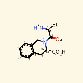 CC[C@H](N)C(=O)N1Cc2ccccc2C[C@H]1C(=O)O